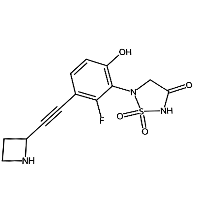 O=C1CN(c2c(O)ccc(C#CC3CCN3)c2F)S(=O)(=O)N1